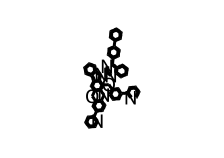 c1ccc(-c2ccc(-c3nc(-n4c5ccccc5c5cc6c7c(c54)Oc4cc(-c5ccccn5)ccc4N7c4ccc(-c5ccccn5)cc4O6)nc4ccccc34)cc2)cc1